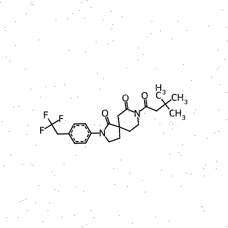 CC(C)(C)CC(=O)N1CCC2(CCN(c3ccc(CC(F)(F)F)cc3)C2=O)CC1=O